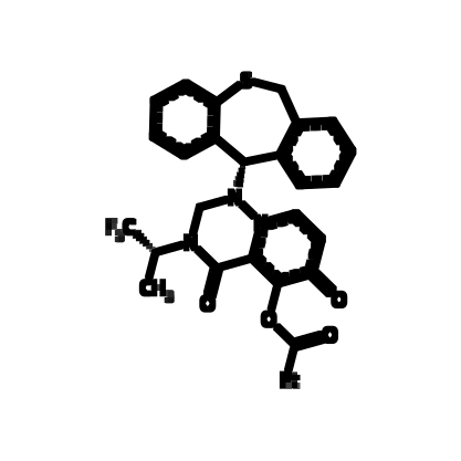 CCC(=O)Oc1c2n(ccc1=O)N([C@H]1c3ccccc3CSc3ccccc31)CN([C@H](C)C(F)(F)F)C2=O